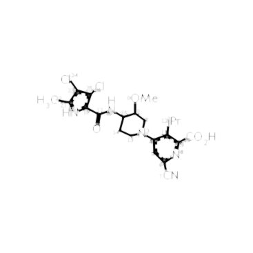 COC1CN(c2cc(C#N)nc(C(=O)O)c2C(C)C)CCC1NC(=O)c1[nH]c(C)c(Cl)c1Cl